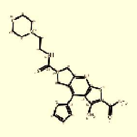 NC(=O)c1sc2nc3c(c(-c4cccs4)c2c1N)CN(C(=S)NCCN1CCOCC1)C3